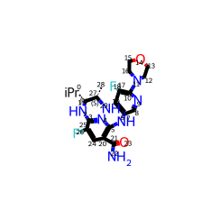 CC(C)[C@@H](Nc1nc(Nc2cnc(N3CCOCC3)c(F)c2)c(C(N)=O)cc1F)[C@H](C)N